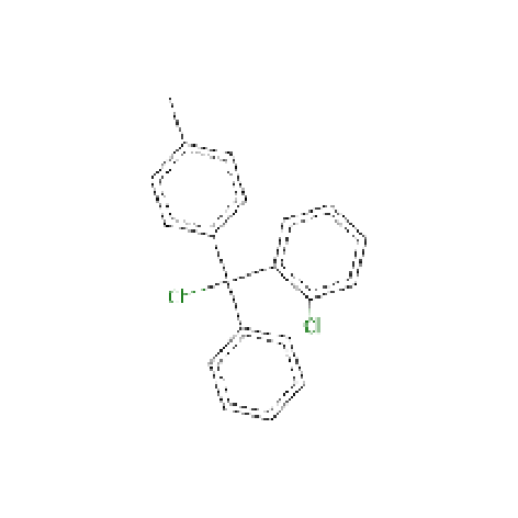 Cc1ccc(C(Cl)(c2ccccc2)c2ccccc2Cl)cc1